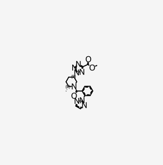 COC(=O)c1nnn([C@@H]2CC[C@@H](C)N(C(=O)c3ccccc3-n3nccn3)C2)n1